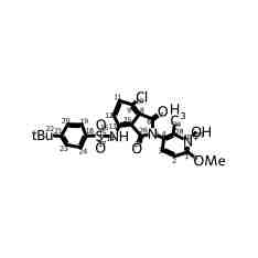 COc1ccc(N2C(=O)c3c(Cl)ccc(NS(=O)(=O)c4ccc(C(C)(C)C)cc4)c3C2=O)c(C)[n+]1O